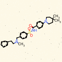 CN(CCc1ccccc1)Cc1ccc(S(=O)(=O)NC(=O)c2ccc(N3CCC(C)(C)CC3)cc2)cc1